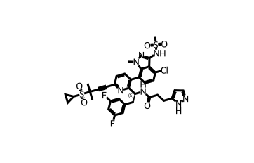 Cn1nc(NS(C)(=O)=O)c2c(Cl)ccc(-c3ccc(C#CC(C)(C)S(=O)(=O)C4CC4)nc3[C@H](Cc3cc(F)cc(F)c3)NC(=O)CCc3ccn[nH]3)c21